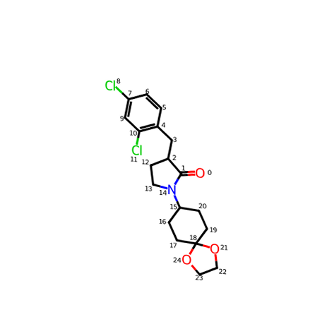 O=C1C(Cc2ccc(Cl)cc2Cl)CCN1C1CCC2(CC1)OCCO2